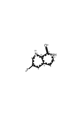 O=c1[nH]ccc2cc(F)cnc12